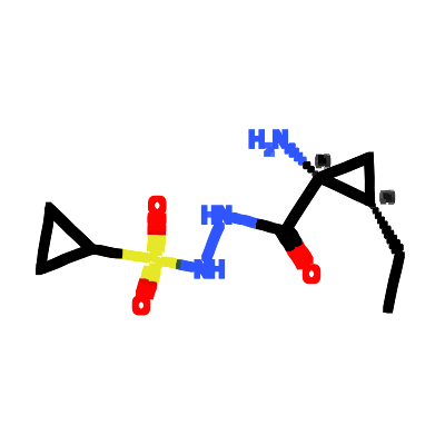 CC[C@H]1C[C@]1(N)C(=O)NNS(=O)(=O)C1CC1